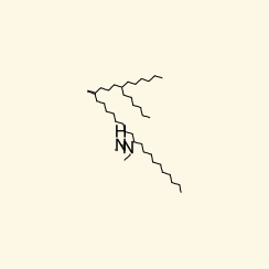 C=C(CCCCCCCCC(CCCCCCCCCC)N(CC)NC)CCCC(CCCCCC)CCCCCC